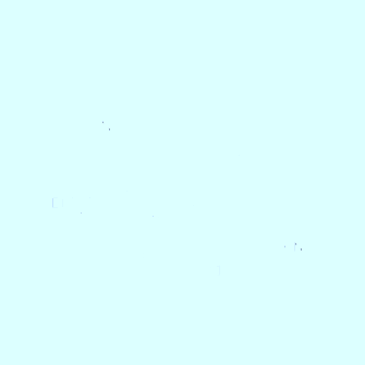 CCOC(=O)C(=CN(C)C)C(=O)c1cc(F)c(Cl)c(C#N)c1Cl